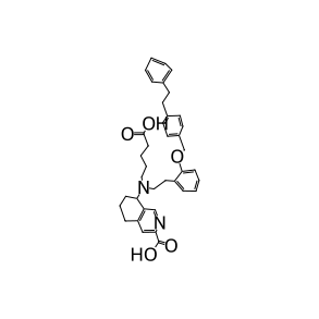 O=C(O)CCCCN(CCc1ccccc1OCc1ccc(CCc2ccccc2)cc1)C1CCCc2cc(C(=O)O)ncc21